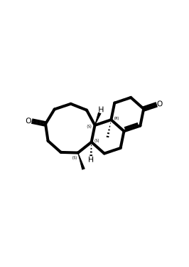 C[C@H]1CCC(=O)CCC[C@H]2[C@H]1CCC1=CC(=O)CC[C@@]12C